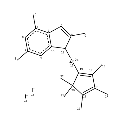 CC1=Cc2c(C)cc(C)cc2[CH]1[Zr+2][C]1=C(C)C(C)=C(C)C1(C)C.[I-].[I-]